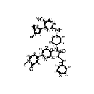 Cc1cc(-c2nc(N[C@H]3CC[C@H](N(C(=O)CCc4ccccc4)c4ccc(-c5ccn(C)c(=O)c5)nc4)CC3)ncc2C#N)[nH]n1